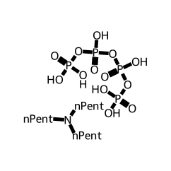 CCCCCN(CCCCC)CCCCC.O=P(O)(O)OP(=O)(O)OP(=O)(O)OP(=O)(O)O